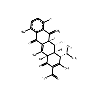 C=C1c2c(Cl)ccc(O)c2C(=O)C2=C(O)[C@]3(O)C(=O)C(C(N)=O)=C(O)[C@@H](N(C)C)[C@@H]3[C@@H](O)[C@H]12